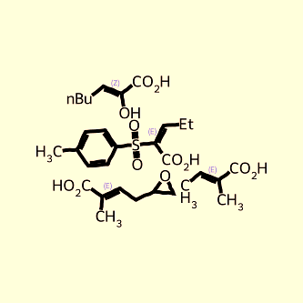 C/C(=C\CC1CO1)C(=O)O.C/C=C(\C)C(=O)O.CC/C=C(\C(=O)O)S(=O)(=O)c1ccc(C)cc1.CCCC/C=C(\O)C(=O)O